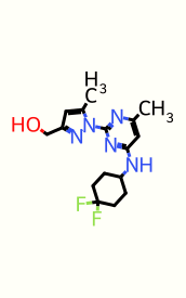 Cc1cc(NC2CCC(F)(F)CC2)nc(-n2nc(CO)cc2C)n1